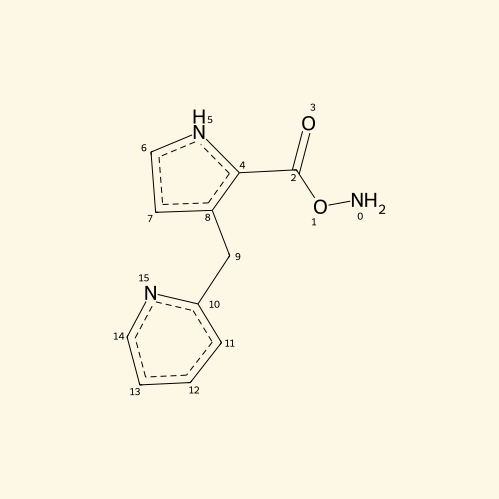 NOC(=O)c1[nH]ccc1Cc1ccccn1